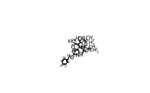 C[C@@H](OC(C)(C)C)[C@H](NC(=O)[C@H](CC(=O)OC(C)(C)C)NC(=O)OCc1ccccc1)C(=O)O